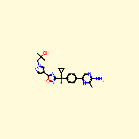 Cc1nc(-c2ccc([C@](C)(c3noc(-c4cnn(CC(C)(C)O)c4)n3)C3CC3)cc2)cnc1N